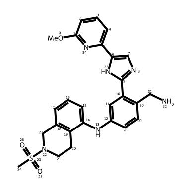 COc1cccc(-c2cnc(-c3cc(Nc4cccc5c4CCN(S(C)(=O)=O)C5)ccc3CN)[nH]2)n1